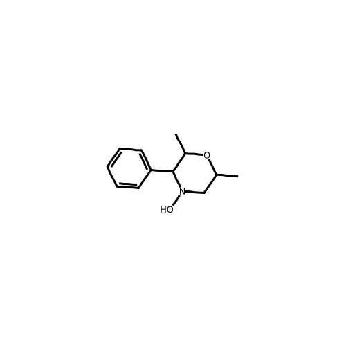 CC1CN(O)C(c2ccccc2)C(C)O1